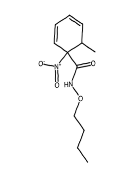 CCCCONC(=O)C1([N+](=O)[O-])C=CC=CC1C